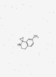 Cc1ccc2c(c1)C1(CC1)NCC2